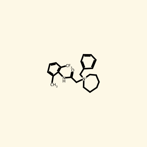 Cc1cccc(C(F)(F)F)c1NC(=O)C[N+]1(Cc2ccccc2)CCCCCC1